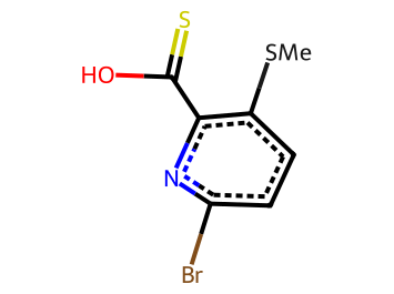 CSc1ccc(Br)nc1C(O)=S